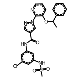 CC(Oc1cccnc1-n1cc(C(=O)Nc2cc(Cl)cc(NS(C)(=O)=O)c2)cn1)c1ccccc1